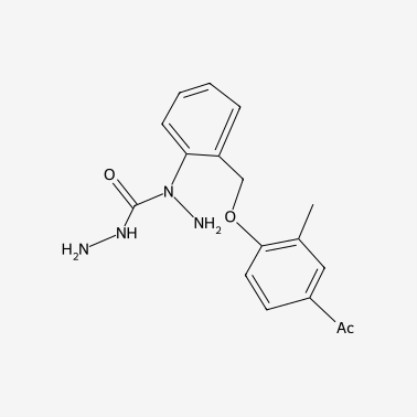 CC(=O)c1ccc(OCc2ccccc2N(N)C(=O)NN)c(C)c1